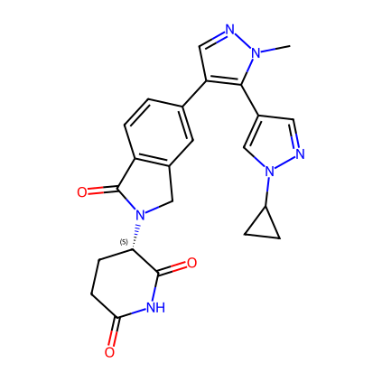 Cn1ncc(-c2ccc3c(c2)CN([C@H]2CCC(=O)NC2=O)C3=O)c1-c1cnn(C2CC2)c1